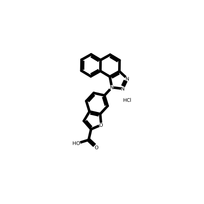 Cl.O=C(O)c1cc2ccc(-n3nnc4ccc5ccccc5c43)cc2o1